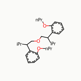 CCCOc1ccccc1C(COCC(c1ccccc1OCCC)C(C)C)C(C)C